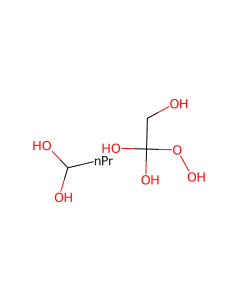 CCCC(O)O.OCC(O)(O)OO